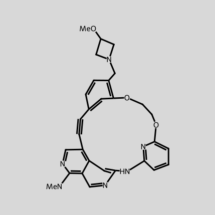 CNc1ncc2c3cc(ncc13)Nc1cccc(n1)OCCOc1cc(ccc1CN1CC(OC)C1)C#C2